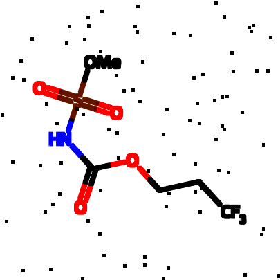 COS(=O)(=O)NC(=O)OCCC(F)(F)F